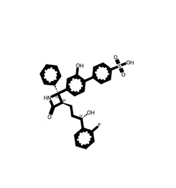 O=C1N[C@@](c2ccccc2)(c2ccc(-c3ccc(S(=O)(=O)O)cc3)c(O)c2)[C@H]1CC[C@H](O)c1ccccc1F